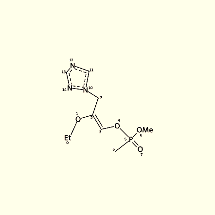 CCO/C(=C/OP(C)(=O)OC)Cn1cncn1